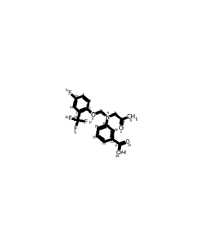 CC(=O)CN(COc1ccc(F)cc1C(F)(F)F)c1cccc(C(=O)O)c1